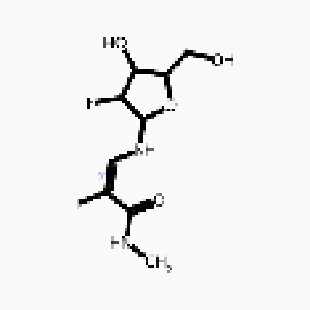 CNC(=O)/C(I)=C\NC1OC(CO)C(O)C1F